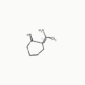 C/C(N)=C1\CCCCC1=N